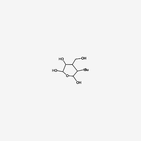 CC(C)(C)C1C(O)OC(O)C(O)C1CO